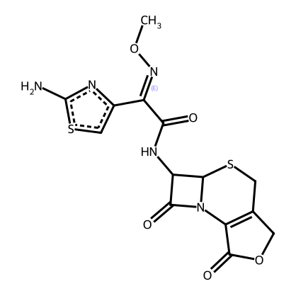 CO/N=C(/C(=O)NC1C(=O)N2C3=C(COC3=O)CSC12)c1csc(N)n1